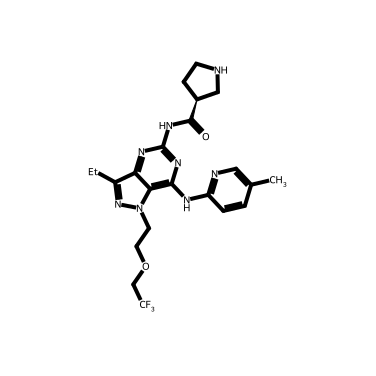 CCc1nn(CCOCC(F)(F)F)c2c(Nc3ccc(C)cn3)nc(NC(=O)[C@H]3CCNC3)nc12